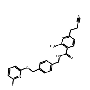 N#CCCc1ccc(C(=O)NCc2ccc(COc3cccc(F)n3)cc2)c(N)n1